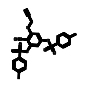 C#CCOc1cc(OS(=O)(=O)c2ccc(C)cc2)cc(OS(=O)(=O)c2ccc(C)cc2)c1C=O